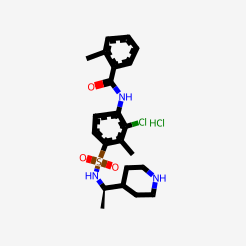 Cc1ccccc1C(=O)Nc1ccc(S(=O)(=O)N[C@H](C)C2CCNCC2)c(C)c1Cl.Cl